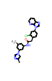 Cc1cn(-c2cc(NC(=O)Cc3ccc(-n4cnc5cccnc54)cc3Cl)cc(C(F)(F)F)c2)cn1